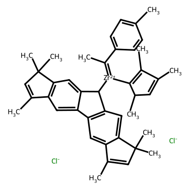 CC1=CC(C)[C](/[Zr+2](=[C](/C)c2ccc(C)cc2)[CH]2c3cc4c(cc3-c3cc5c(cc32)C(C)(C)C=C5C)C(C)=CC4(C)C)=C1C.[Cl-].[Cl-]